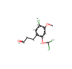 COc1cc(OC(F)F)c(CCC=O)cc1Cl